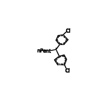 CCCCC[C](c1ccc(Cl)cc1)c1ccc(Cl)cc1